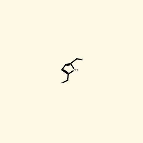 FCc1ccc(CF)[nH]1